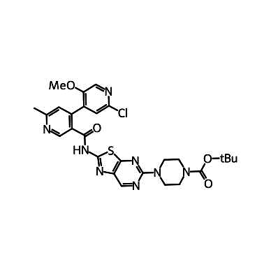 COc1cnc(Cl)cc1-c1cc(C)ncc1C(=O)Nc1nc2cnc(N3CCN(C(=O)OC(C)(C)C)CC3)nc2s1